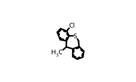 CC1c2ccccc2CSc2c(Cl)cccc21